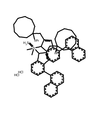 CCCC1(CC2=Cc3c(-c4cccc5ccccc45)cccc3[CH]2[Zr]([CH3])([CH3])(=[SiH2])[CH]2C(CC3(CCC)CCCCCCCC3)=Cc3c(-c4cccc5ccccc45)cccc32)CCCCCCCC1.Cl.Cl